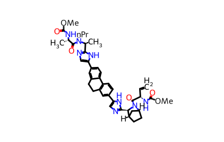 C=C[C@H](NC(=O)OC)C(=O)N1[C@@H]2CC[C@@H](C2)[C@H]1c1ncc(-c2ccc3c(c2)CCc2cc(-c4cnc([C@H](C)N(CCC)C(=O)[C@H](C)NC(=O)OC)[nH]4)ccc2-3)[nH]1